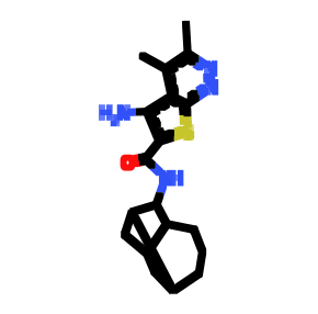 Cc1nnc2sc(C(=O)NC3C4CCCC5CC4CC53)c(N)c2c1C